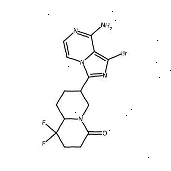 Nc1nccn2c(C3CCC4N(C3)C(=O)CCC4(F)F)nc(Br)c12